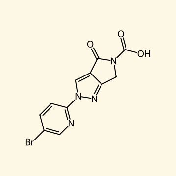 O=C(O)N1Cc2nn(-c3ccc(Br)cn3)cc2C1=O